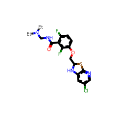 CCN(CC)CNC(=O)c1c(F)ccc(OCC2Nc3cc(Cl)cnc3S2)c1F